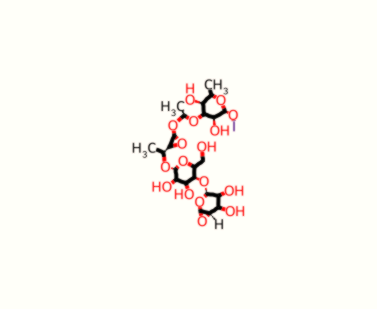 CC1O[C@@H](OI)[C@@H](O)C(O[C@@H](C)OC2O[C@@H]2C(C)O[C@@H]2OC(CO)[C@@H](O[C@H]3OC4O[C@@H]4C(O)C3O)C(O)C2O)[C@H]1O